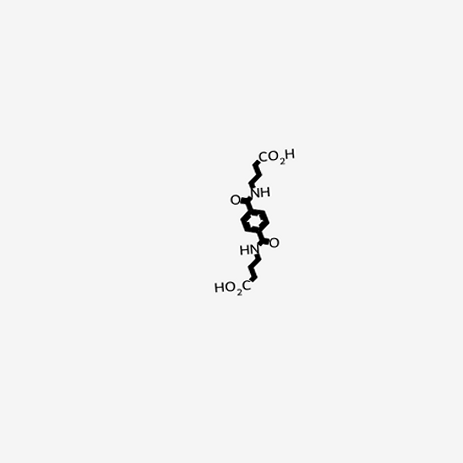 O=C(O)CCCNC(=O)c1ccc(C(=O)NCCCC(=O)O)cc1